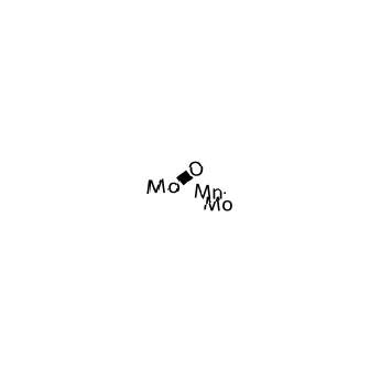 [Mn].[Mo].[O]=[Mo]